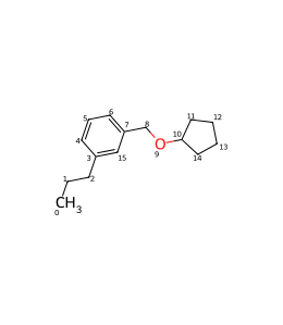 CCCc1cccc(COC2CCCC2)c1